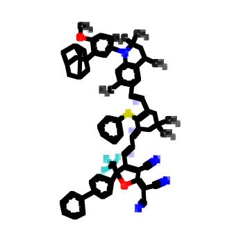 COc1ccc(N2c3cc(C)c(/C=C/C4=C(Sc5ccccc5)C(=C/C=C/C5=C(C#N)C(=C(C#N)C#N)OC5(c5ccc(-c6ccccc6)cc5)C(F)(F)F)/CC(C)(C)C4)cc3C(C)CC2(C)C)cc1C12CC3CC(CC(C3)C1)C2